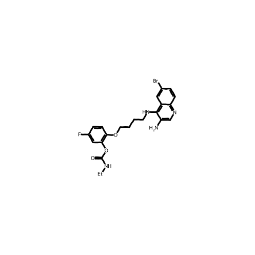 CCNC(=O)Oc1cc(F)ccc1OCCCCNc1c(N)cnc2ccc(Br)cc12